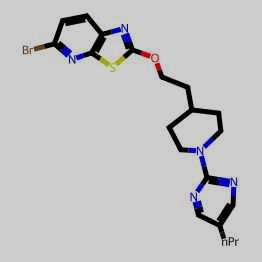 CCCc1cnc(N2CCC(CCOc3nc4ccc(Br)nc4s3)CC2)nc1